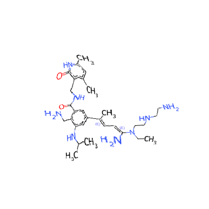 CCN(CCNCCN)/C(N)=C/C=C(\C)c1cc(NC(C)C)c(CN)c(C(=O)NCc2c(C)cc(C)[nH]c2=O)c1